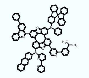 CC(C)c1cccc(-c2cc(-c3ccc4c5cc(N(c6ccccc6)c6ccc7c(c6)C6(c8ccccc8-c8ccccc86)c6ccccc6-7)cc6oc7cc(-c8nc9ccccc9c9cc(-c%10ccccc%10)ccc89)cc(c8ccc(N(c9ccc%10cc%11ccccc%11cc%10c9)c9cccc(-c%10ccccn%10)n9)c9oc3c4c98)c7c65)ccn2)c1